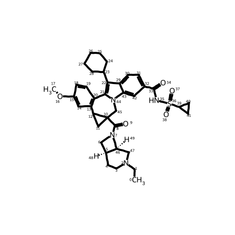 CCN1CC[C@H]2CN(C(=O)C34CC3c3cc(OC)ccc3-c3c(C5CCCCC5)c5ccc(C(=O)NS(=O)(=O)C6CC6)cc5n3C4)[C@H]2C1